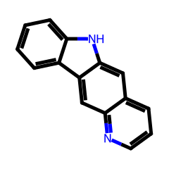 c1cnc2cc3c(cc2c1)[nH]c1ccccc13